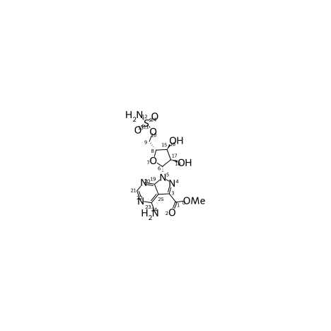 COC(=O)c1nn([C@@H]2O[C@H](COS(N)(=O)=O)[C@@H](O)[C@H]2O)c2ncnc(N)c12